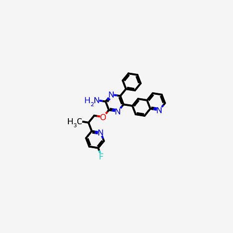 CC(COc1nc(-c2ccc3ncccc3c2)c(-c2ccccc2)nc1N)c1ccc(F)cn1